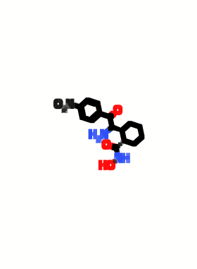 NC(C(=O)c1ccc([N+](=O)[O-])cc1)[C@H]1CCCC[C@@H]1C(=O)NO